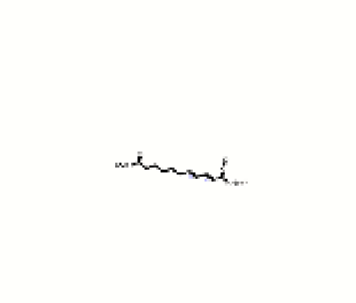 CCCCCCCC(=C=O)/C=C/C=C/CCCCCC(=O)OC